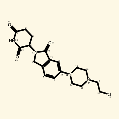 O=C1CCC(N2Cc3ccc(N4CCN(CCCl)CC4)cc3C2=O)C(=O)N1